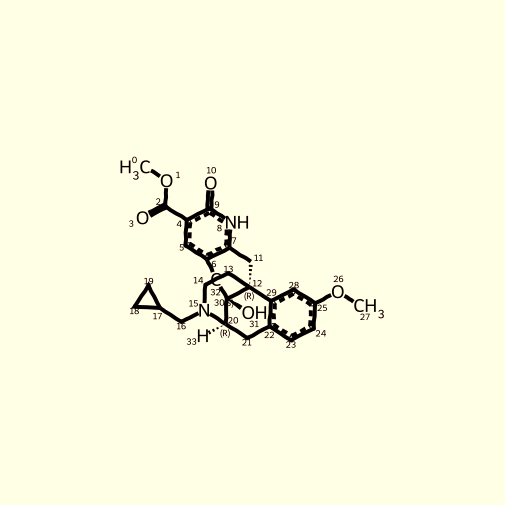 COC(=O)c1cc2c([nH]c1=O)C[C@]13CCN(CC4CC4)[C@H](Cc4ccc(OC)cc41)[C@]3(O)C2